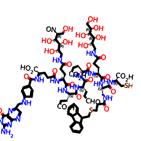 Nc1nc2ncc(CNc3ccc(C(=O)N[C@@H](CCC(=O)N[C@@H](CCC(=O)NC[C@H](O)[C@@H](O)[C@H](O)[C@@H](CO)N=O)C(=O)N[C@@H](CCC(=O)O)C(=O)N[C@@H](CCC=O)C(=O)N[C@@H](CCC(=O)O)C(=O)N[C@@H](CCC(=O)NC[C@H](O)[C@@H](O)[C@H](O)[C@H](O)CO)C(=O)N[C@@H](CNC(=O)CCSCC4c5ccccc5-c5ccccc54)C(=O)N[C@@H](CS)C(=O)O)C(=O)O)cc3)nc2c(=O)n1N